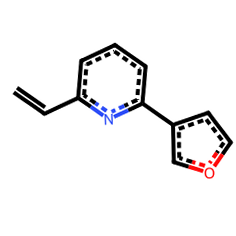 C=Cc1cccc(-c2ccoc2)n1